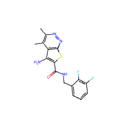 Cc1nnc2sc(C(=O)NCc3cccc(F)c3F)c(N)c2c1C